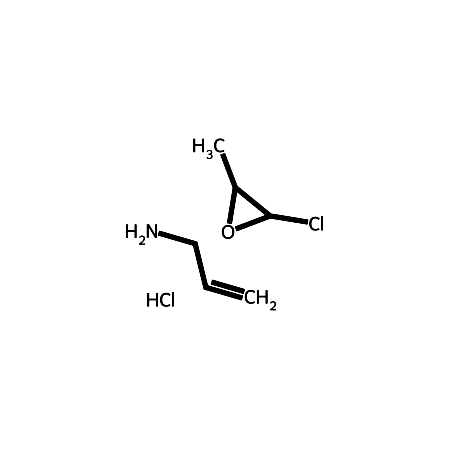 C=CCN.CC1OC1Cl.Cl